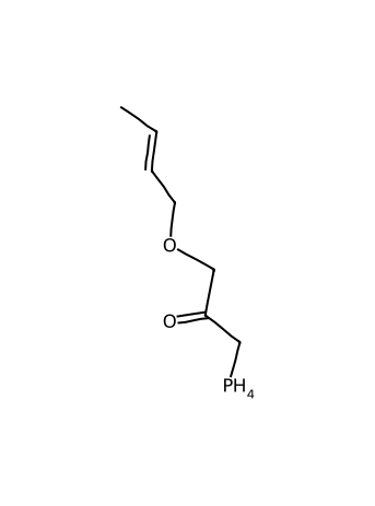 CC=CCOCC(=O)C[PH4]